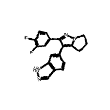 Fc1ccc(-c2nn3c(c2-c2ccc4cn[nH]c4c2)CCC3)cc1F